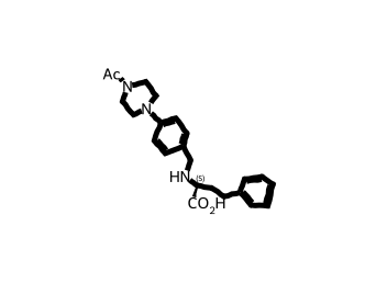 CC(=O)N1CCN(c2ccc(CN[C@@H](CCc3ccccc3)C(=O)O)cc2)CC1